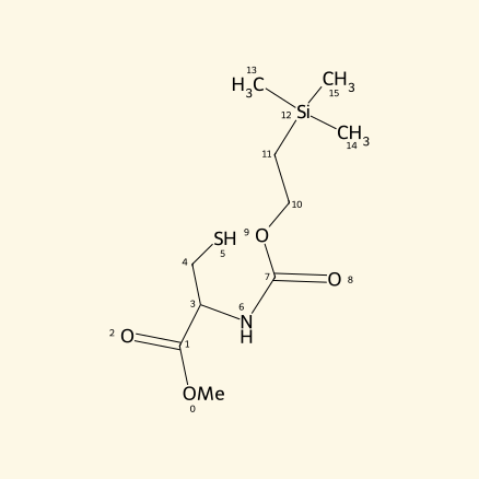 COC(=O)C(CS)NC(=O)OCC[Si](C)(C)C